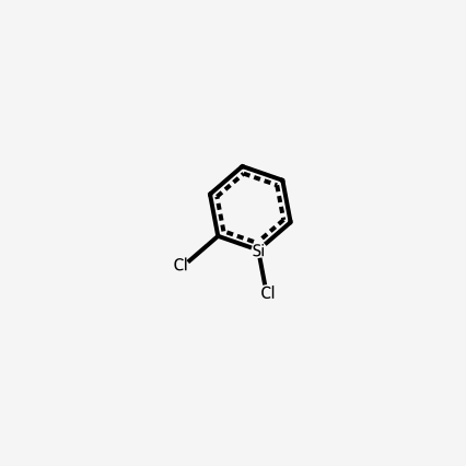 Clc1cccc[si]1Cl